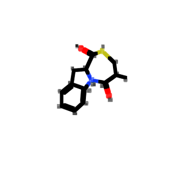 CC1CSC(=O)C2Cc3ccccc3N2C1=O